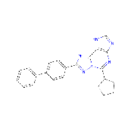 c1ccc(-c2ccc(-c3nc4c5[nH]cnc5nc(C5CCCC5)n4n3)cc2)cc1